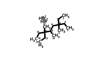 Br.Br.CCC(C)(CC)CC(C)C(C)(CC)CC